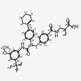 COc1cc(NC(=O)N(Cc2ccc(C(=O)NCC(F)C(=O)O)cc2)c2ccc(C3=CCCCC3)cc2)cc(C(F)(F)F)c1